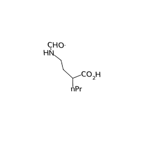 CCCC(CCN[C]=O)C(=O)O